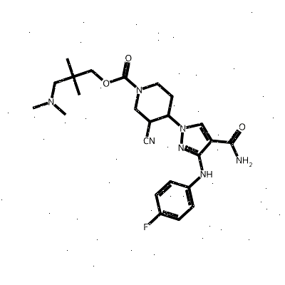 CN(C)CC(C)(C)COC(=O)N1CCC(n2cc(C(N)=O)c(Nc3ccc(F)cc3)n2)C(C#N)C1